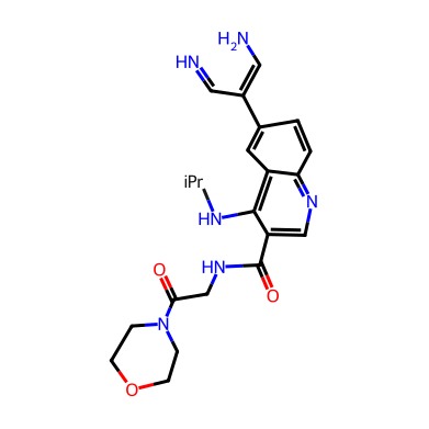 CC(C)Nc1c(C(=O)NCC(=O)N2CCOCC2)cnc2ccc(/C(C=N)=C/N)cc12